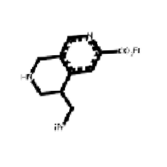 CCOC(=O)c1cc2c(cn1)CNCC2CC(C)C